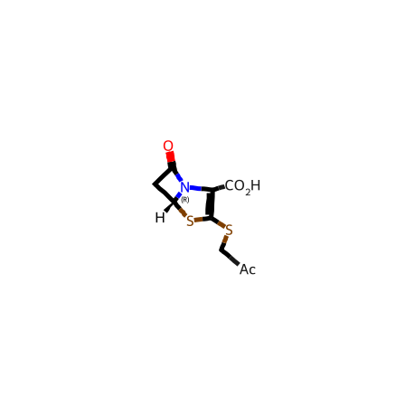 CC(=O)CSC1=C(C(=O)O)N2C(=O)C[C@H]2S1